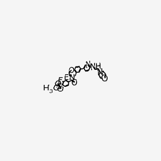 CCc1c(C(=O)N2CCOc3ccc(-c4ccc(NCCN5CCOCC5)nc4)cc3C2)ccc(S(C)(=O)=O)c1F